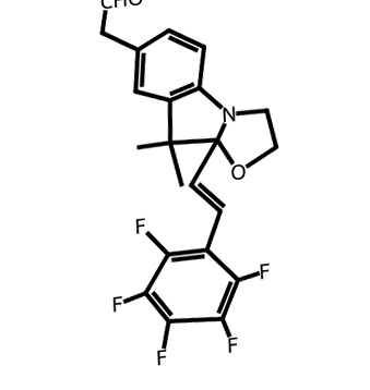 CC1(C)c2cc(CC=O)ccc2N2CCOC21/C=C/c1c(F)c(F)c(F)c(F)c1F